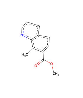 COC(=O)c1ccc2cccnc2c1C